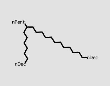 [CH2]CCCCC(CCCCCCCCCCCCCCCC)CCCCCCCCCCCCCCCCCCCCCC